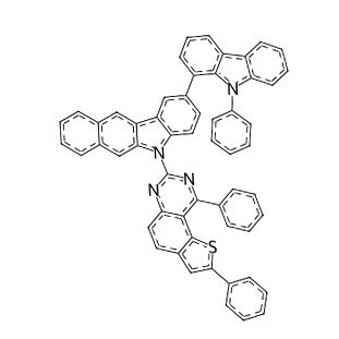 c1ccc(-c2cc3ccc4nc(-n5c6ccc(-c7cccc8c9ccccc9n(-c9ccccc9)c78)cc6c6cc7ccccc7cc65)nc(-c5ccccc5)c4c3s2)cc1